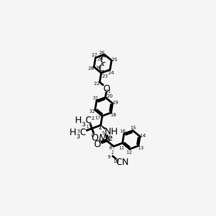 COC(C)(C)[C@H](NC(=O)[C@@H](CC#N)c1ccccc1)c1ccc(OCC23CCC(CC2)CC3)cc1